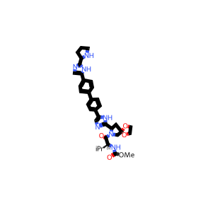 COC(=O)N[C@H](C(=O)N1CC2(CC1c1ncc(-c3ccc(-c4ccc(-c5cnc(C6CCCN6)[nH]5)cc4)cc3)[nH]1)OCCO2)C(C)C